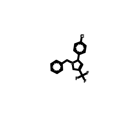 FC(F)(F)C1=CC(c2ccc(Cl)cc2)N(Cc2ccccc2)C1